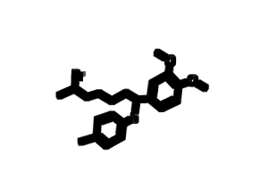 COc1ccc(C(CCCCC(C)Br)Sc2ccc(C)cc2)cc1OC